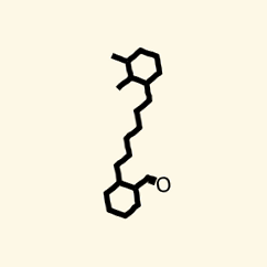 CC1CCCC(CCCCCCC2CCCCC2C=O)C1C